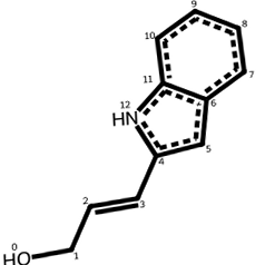 OC/C=C/c1cc2ccccc2[nH]1